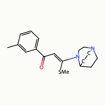 CSC(=CC(=O)c1cccc(C)c1)N1CCN2CCC1CC2